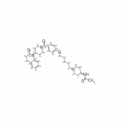 CC(=O)NC1CCN(CCCCCOc2ccc(C(=O)N3CCC(N4C(=O)CCc5ccccc54)CC3)cc2)CC1